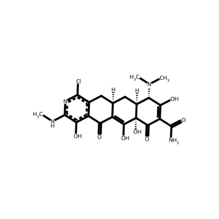 CNc1nc(Cl)c2c(c1O)C(=O)C1=C(O)[C@]3(O)C(=O)C(C(N)=O)=C(O)[C@@H](N(C)C)[C@@H]3C[C@@H]1C2